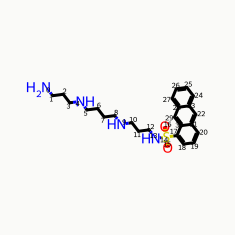 NCCCNCCCCNCCCNS(=O)(=O)c1cccc2cc3ccccc3cc12